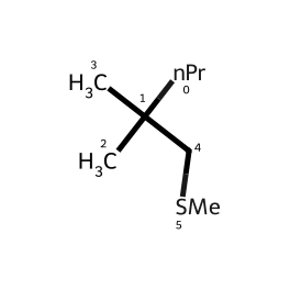 CCCC(C)(C)CSC